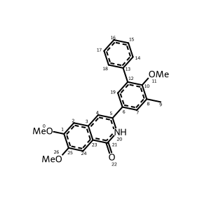 COc1cc2cc(-c3cc(C)c(OC)c(-c4ccccc4)c3)[nH]c(=O)c2cc1OC